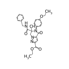 CCOC(=O)c1cc2n(n1)CC(C)(C(=O)NCc1ccccc1)N(c1ccc(OCC)cc1)C2=O